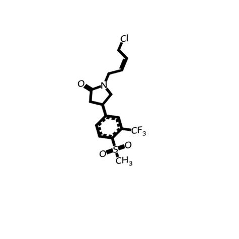 CS(=O)(=O)c1ccc(C2CC(=O)N(C/C=C\CCl)C2)cc1C(F)(F)F